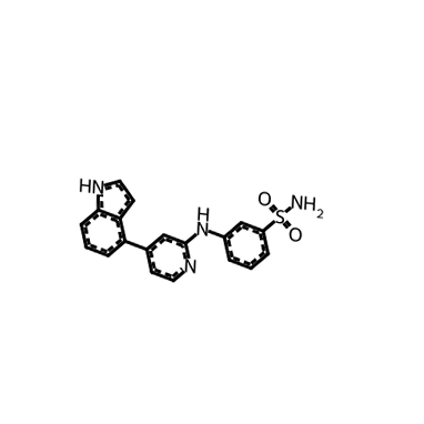 NS(=O)(=O)c1cccc(Nc2cc(-c3cccc4[nH]ccc34)ccn2)c1